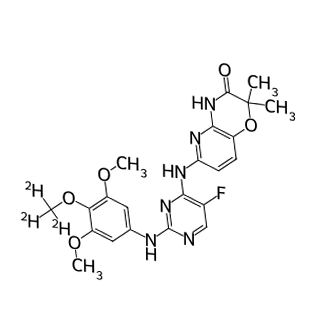 [2H]C([2H])([2H])Oc1c(OC)cc(Nc2ncc(F)c(Nc3ccc4c(n3)NC(=O)C(C)(C)O4)n2)cc1OC